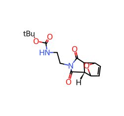 CC(C)(C)OC(=O)NCCN1C(=O)C2C3C=CC(O3)[C@@H]2C1=O